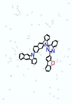 c1ccc2cc3c(cc2c1)c1ccccc1n3-c1ccc2cc3c4ccccc4n(-c4nc(-c5ccc6c(c5)oc5ccccc56)nc5ccccc45)c3cc2c1